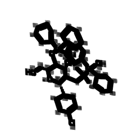 CC(C)(CC1[C@@H](O)C(O[Si](c2ccccc2)(c2ccccc2)C(C)(C)C)[C@@H](CO)O[C@H]1c1ccc(Cl)cc1)[Si](O)(c1ccccc1)c1ccccc1